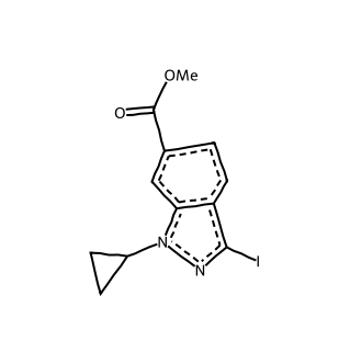 COC(=O)c1ccc2c(I)nn(C3CC3)c2c1